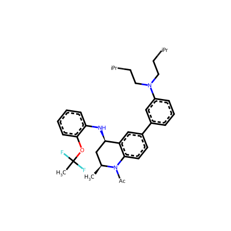 CC(=O)N1c2ccc(-c3cccc(N(CCC(C)C)CCC(C)C)c3)cc2[C@H](Nc2ccccc2OC(C)(F)F)C[C@@H]1C